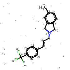 Cc1ccc2c(c1)CN(C/C=C/c1ccc(C(F)(F)F)cc1)C2